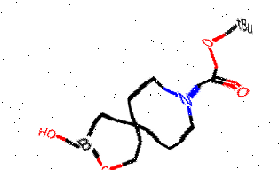 CC(C)(C)OC(=O)N1CCC2(CC1)COB(O)C2